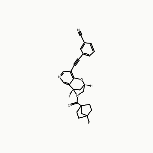 N#Cc1cccc(C#Cc2cncc3c2O[C@H]2C[C@@H]3N(C(=O)C34CCC(F)(CC3)C4)C2)c1